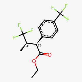 CCOC(=O)[C@H](c1ccc(C(F)(F)F)cc1)[C@@H](C)C(F)(F)F